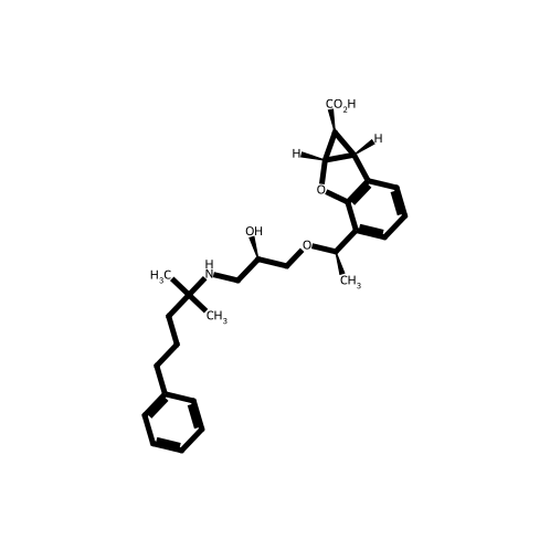 C[C@@H](OC[C@H](O)CNC(C)(C)CCCc1ccccc1)c1cccc2c1O[C@@H]1[C@@H](C(=O)O)[C@H]21